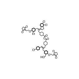 CCc1cc(CN(CC2CCC(C(=O)OC(=O)C3CCC(CN(Cc4ccc(OCCN5C(=O)CCC5=O)c(CO)c4)[C@@H](C)c4ccc(Cl)cc4)CC3)CC2)[C@H]2CCc3c2ccc(Cl)c3Cl)ccc1OCCN1C(=O)CCC1=O